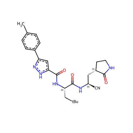 Cc1ccc(-c2cc(C(=O)N[C@@H](CC(C)(C)C)C(=O)N[C@H](C#N)C[C@@H]3CCNC3=O)[nH]n2)cc1